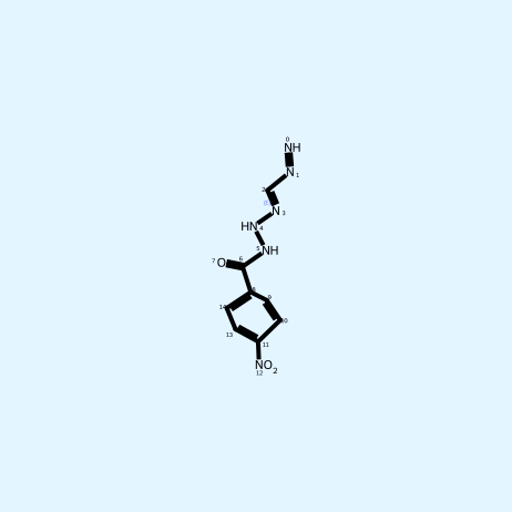 N=N/C=N/NNC(=O)c1ccc([N+](=O)[O-])cc1